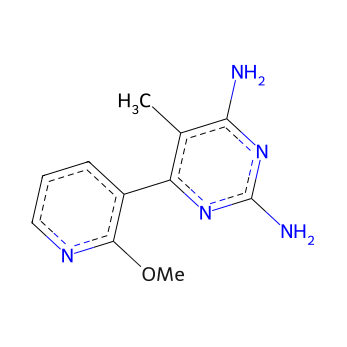 COc1ncccc1-c1nc(N)nc(N)c1C